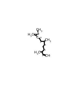 [CH]=CC(C)CCCC(C)CCCC(C)SC